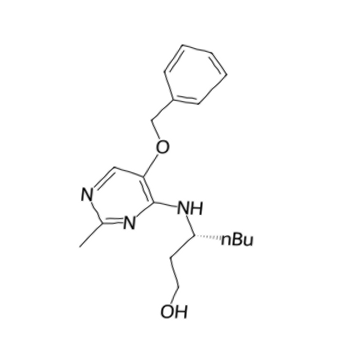 CCCC[C@H](CCO)Nc1nc(C)ncc1OCc1ccccc1